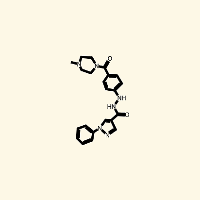 CN1CCN(C(=O)c2ccc(NNC(=O)c3cnn(-c4ccccc4)c3)cc2)CC1